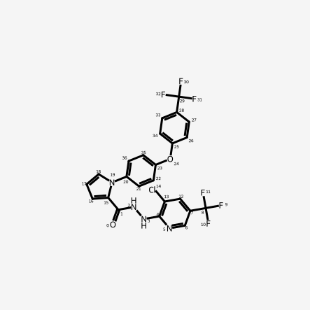 O=C(NNc1ncc(C(F)(F)F)cc1Cl)c1cccn1-c1ccc(Oc2ccc(C(F)(F)F)cc2)cc1